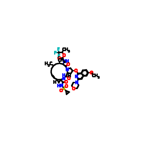 COc1ccc2c(O[C@@H]3C[C@H]4C(=O)N[C@]5(C(=O)NS(=O)(=O)C6CC6)C[C@H]5/C=C\CC[C@@H](C)C[C@@H](C)[C@H](NC(=O)O[C@H](C)C(F)(F)F)C(=O)N4C3)nc(N3CCOCC3)cc2c1